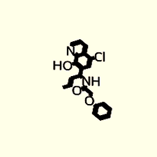 CC=CC(NC(=O)COc1ccccc1)c1cc(Cl)c2cccnc2c1O